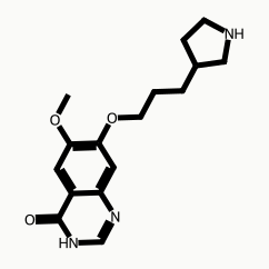 COc1cc2c(=O)[nH]cnc2cc1OCCCC1CCNC1